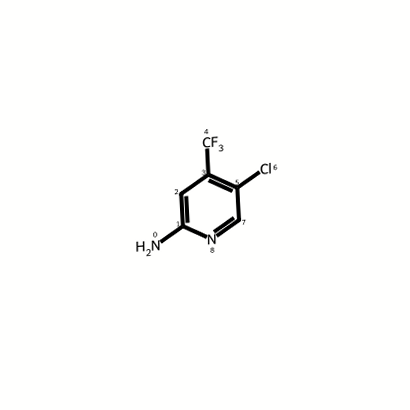 Nc1cc(C(F)(F)F)c(Cl)cn1